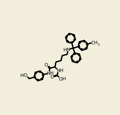 Cc1ccc(C(NCCCCC(NC(=O)O)C(=O)Nc2ccc(CO)cc2)(c2ccccc2)c2ccccc2)cc1